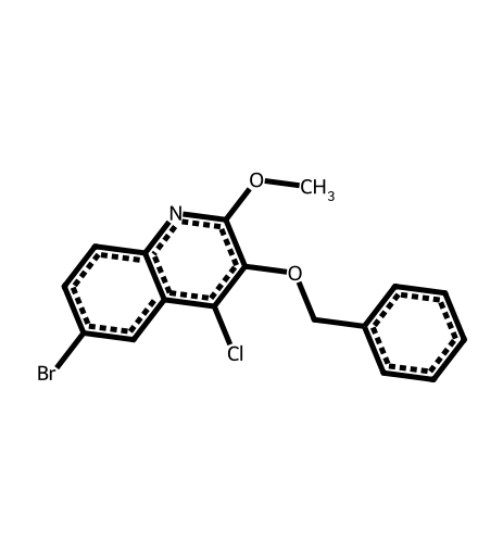 COc1nc2ccc(Br)cc2c(Cl)c1OCc1ccccc1